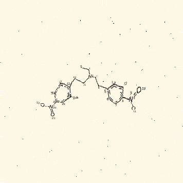 CCN(CCc1ccc([N+](=O)[O-])cc1)CCc1ccc([N+](=O)[O-])cc1